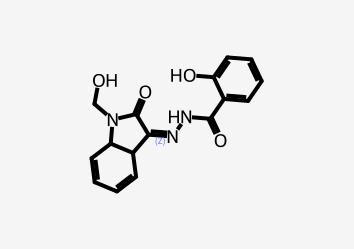 O=C(N/N=C1\C(=O)N(CO)C2C=CC=CC12)c1ccccc1O